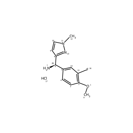 COc1ccc([C@@H](N)c2ccn(C)n2)cc1F.Cl